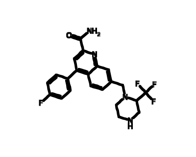 NC(=O)c1cc(-c2ccc(F)cc2)c2ccc(CN3CCNCC3C(F)(F)F)cc2n1